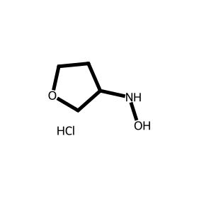 Cl.ONC1CCOC1